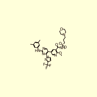 COc1ncc(-c2cnc(Nc3cc(C)cc(C)c3)nc2-n2ccc(C(F)(F)F)n2)cc1C(=O)NS(=O)(=O)CCCN1CCOCC1